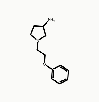 NC1CCN(CCOc2ccccc2)C1